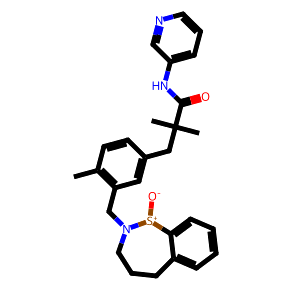 Cc1ccc(CC(C)(C)C(=O)Nc2cccnc2)cc1CN1CCCc2ccccc2[S+]1[O-]